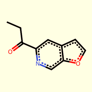 CCC(=O)c1cc2ccoc2cn1